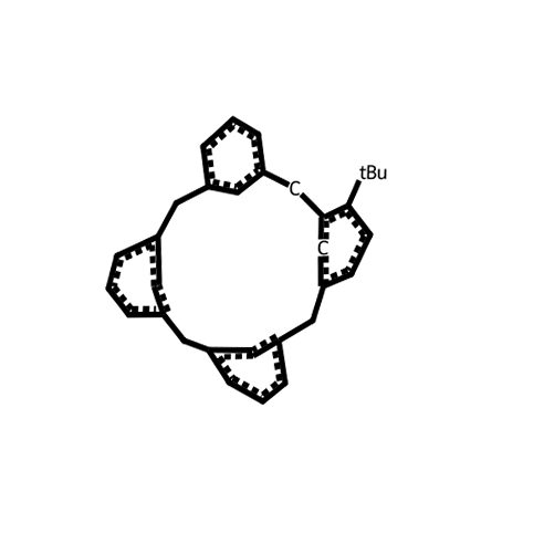 CC(C)(C)c1ccc2cc1Cc1cccc(c1)Cc1cccc(c1)Cc1cccc(c1)C2